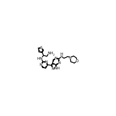 NCC(Nc1nccc(-c2n[nH]c3nc(NCCN4CCOCC4)ncc23)n1)c1ccsc1